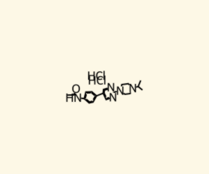 CC(=O)Nc1ccc(-c2cnc(N3CCN(C(C)C)CC3)nc2)cc1.Cl.Cl